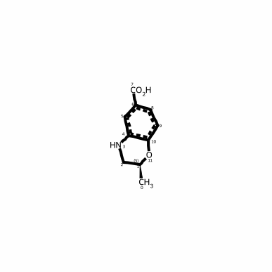 C[C@H]1CNc2cc(C(=O)O)ccc2O1